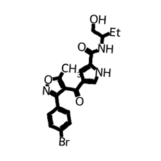 CCC(CO)NC(=O)c1cc(C(=O)c2c(-c3ccc(Br)cc3)noc2C)c[nH]1